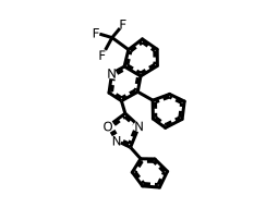 FC(F)(F)c1cccc2c(-c3ccccc3)c(-c3nc(-c4ccccc4)no3)cnc12